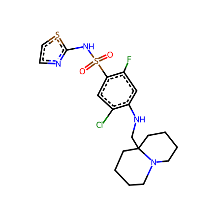 O=S(=O)(Nc1nccs1)c1cc(Cl)c(NCC23CCCCN2CCCC3)cc1F